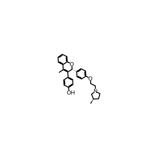 CC1=C(c2ccc(O)cc2)[C@@H](c2ccc(OCCN3CC[C@@H](C)C3)cc2)Oc2ccccc21